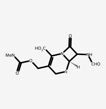 CNC(=O)OCC1=C(C(=O)O)N2C(=O)C(NC=O)[C@H]2SC1